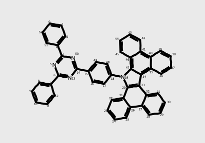 c1ccc(-c2nc(-c3ccccc3)nc(-c3ccc(-n4c5c6ccccc6c6ccccc6c5c5c6ccccc6c6ccccc6c54)cc3)n2)cc1